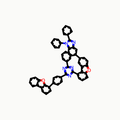 c1ccc(-c2nc(-c3ccc(-c4cccc5c4oc4ccccc45)cc3)nc(-c3cccc4oc5ccc(-c6ccc7c(c6)nc(-c6ccccc6)n7-c6ccccc6)cc5c34)n2)cc1